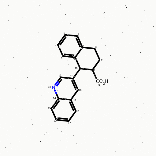 O=C(O)C1CCc2ccccc2C1c1cnc2ccccc2c1